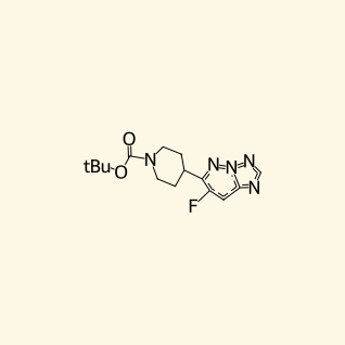 CC(C)(C)OC(=O)N1CCC(c2nn3ncnc3cc2F)CC1